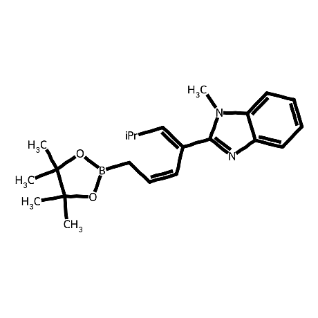 CC(C)/C=C(\C=C/CB1OC(C)(C)C(C)(C)O1)c1nc2ccccc2n1C